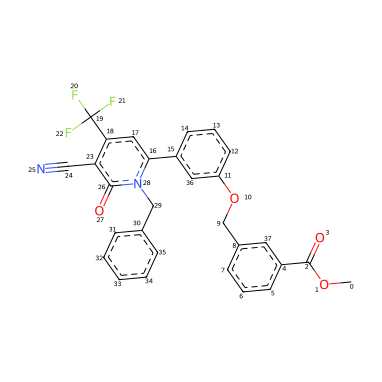 COC(=O)c1cccc(COc2cccc(-c3cc(C(F)(F)F)c(C#N)c(=O)n3Cc3ccccc3)c2)c1